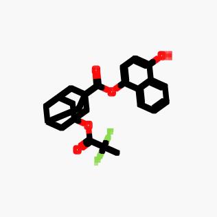 CC(F)(F)C(=O)OC12CC3CC(C1)CC(C(=O)Oc1ccc(O)c4ccccc14)(C3)C2